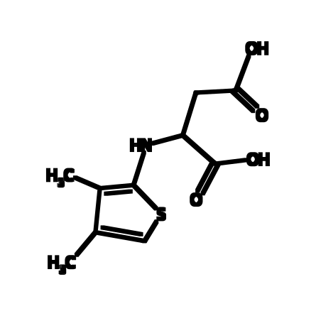 Cc1csc(NC(CC(=O)O)C(=O)O)c1C